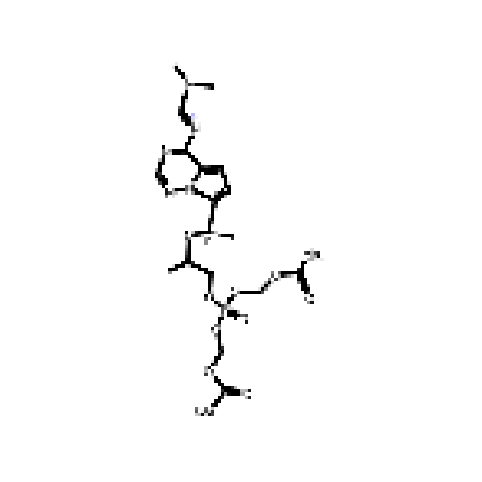 CC(COP(=O)(OCOC(=O)C(C)(C)C)OCOC(=O)C(C)(C)C)O[C@H](C)c1ccc2c(/N=C/N(C)C)ncnn12